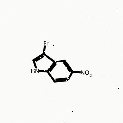 O=[N+]([O-])c1ccc2[nH]cc(Br)c2c1